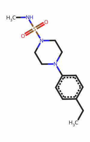 CCc1ccc(N2CCN(S(=O)(=O)NC)CC2)cc1